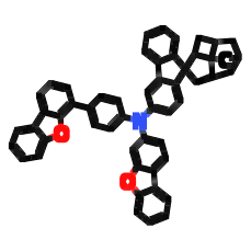 c1ccc2c(c1)-c1cc(N(c3ccc(-c4cccc5c4oc4ccccc45)cc3)c3ccc4c(c3)oc3ccccc34)ccc1C21C2CC3CC4CC1C4(C3)C2